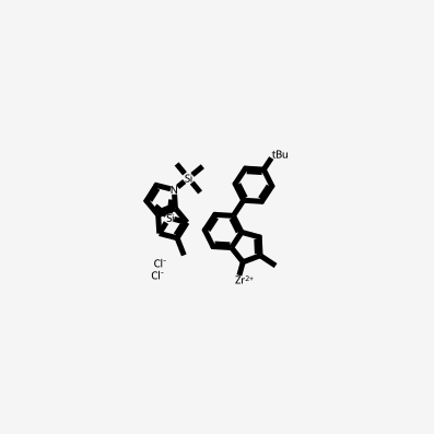 CC1=C2c3c(ccn3[Si](C)(C)C)C1[Si]2(C)C.CC1=Cc2c(-c3ccc(C(C)(C)C)cc3)cccc2[CH]1[Zr+2].[Cl-].[Cl-]